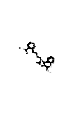 Cc1nc2c(N)nc3ccccc3c2n1CCCCc1ccccc1C(N)=O